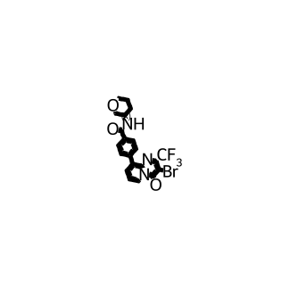 O=C(N[C@@H]1CCCOC1)c1ccc(-c2cccn3c(=O)c(Br)c(C(F)(F)F)nc23)cc1